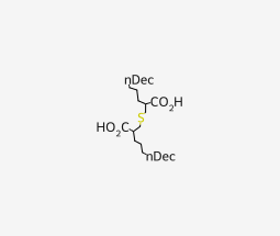 CCCCCCCCCCCCCC(CSCC(CCCCCCCCCCCCC)C(=O)O)C(=O)O